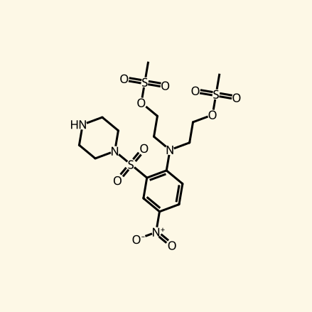 CS(=O)(=O)OCCN(CCOS(C)(=O)=O)c1ccc([N+](=O)[O-])cc1S(=O)(=O)N1CCNCC1